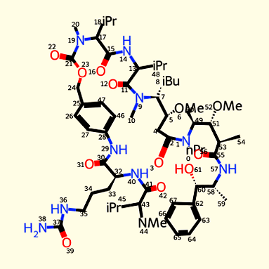 CCCN(C(=O)C[C@@H](OC)[C@H]([C@@H](C)CC)N(C)C(=O)C(NC(=O)C(C(C)C)N(C)C(=O)OCc1ccc(NC(=O)[C@H](CCCNC(N)=O)NC(=O)C(NC)C(C)C)cc1)C(C)C)[C@@H](C)[C@H](OC)[C@@H](C)C(=O)N[C@H](C)[C@@H](O)c1ccccc1